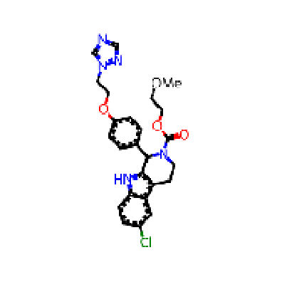 COCCOC(=O)N1CCc2c([nH]c3ccc(Cl)cc23)C1c1ccc(OCCn2cncn2)cc1